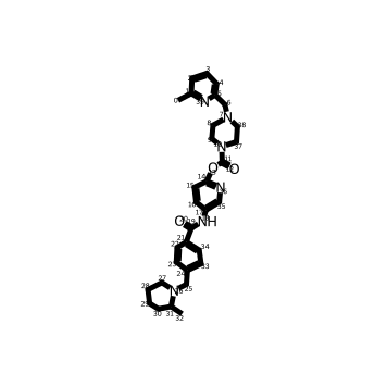 Cc1cccc(CN2CCN(C(=O)Oc3ccc(NC(=O)c4ccc(CN5CCCCC5C)cc4)cn3)CC2)n1